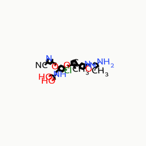 Cc1c(COc2cc(OCc3cncc(C#N)c3)c(CNC(CO)CO)cc2Cl)cccc1-c1ccc2oc(N3C[C@@H](N)C[C@H]3C)nc2c1